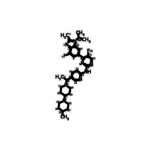 Cc1nc2c(F)cc(-c3nc(Nc4ccc(C(C)N5CCC(N6CCC(C)CC6)CC5)cn4)ncc3F)cc2n1C(C)C